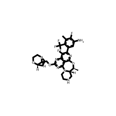 Cc1c(F)c(N)cc(-c2nc3c4c(nc(OC[C@@H]5[C@@H]6CCN5CCO6)nc4c2F)N2CCNC[C@H]2[C@H](C)O3)c1C(F)(F)F